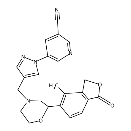 Cc1c(C2CN(Cc3cnn(-c4cncc(C#N)c4)c3)CCO2)ccc2c1COC2=O